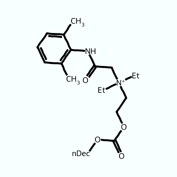 CCCCCCCCCCOC(=O)OCC[N+](CC)(CC)CC(=O)Nc1c(C)cccc1C